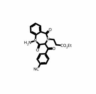 CCOC(=O)CCN1C(=O)c2ccccc2N(N)C(=O)C1C(=O)c1ccc(C#N)cc1